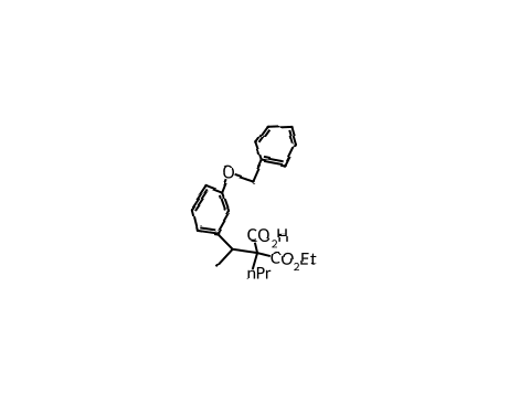 CCCC(C(=O)O)(C(=O)OCC)C(C)c1cccc(OCc2ccccc2)c1